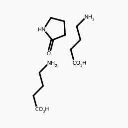 NCCCC(=O)O.NCCCC(=O)O.O=C1CCCN1